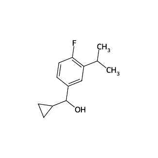 CC(C)c1cc(C(O)C2CC2)ccc1F